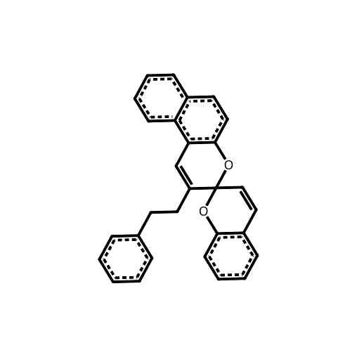 C1=CC2(Oc3ccccc31)Oc1ccc3ccccc3c1C=C2CCc1ccccc1